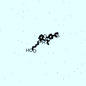 [2H]C(c1ccccc1OCCCCCC(=O)O)N(C(=O)c1ccc(-c2ccsc2)cc1)C(C)CC